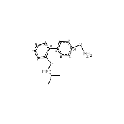 CC(C)NCc1ccccc1-c1ccc(CN)cc1